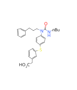 CCCCNC(=O)N(CCCc1ccccc1)c1ccc(Sc2cccc(CC(=O)O)c2)cc1